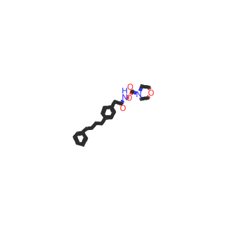 O=C(Cc1ccc(CCCCc2ccccc2)cc1)NOC(=O)N1CCOCC1